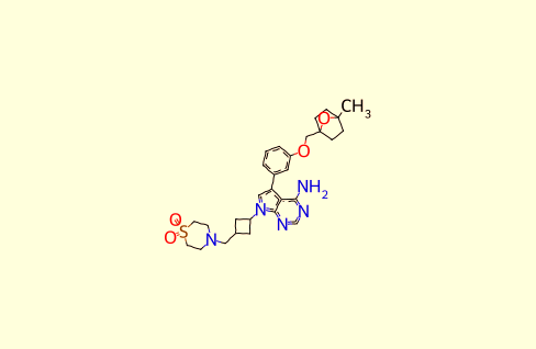 CC12CCC(COc3cccc(-c4cn(C5CC(CN6CCS(=O)(=O)CC6)C5)c5ncnc(N)c45)c3)(CC1)O2